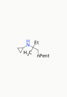 CCCCCCC(C)(CC)NC1CC1